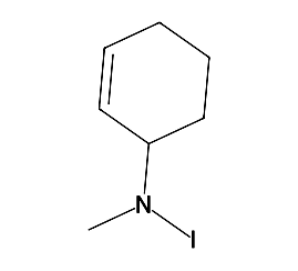 CN(I)C1C=CCCC1